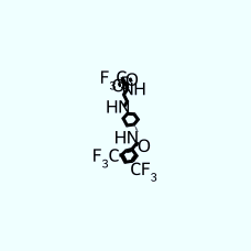 O=C(NC[C@H]1CC[C@H](NCCNS(=O)(=O)C(F)(F)F)CC1)c1cc(C(F)(F)F)cc(C(F)(F)F)c1